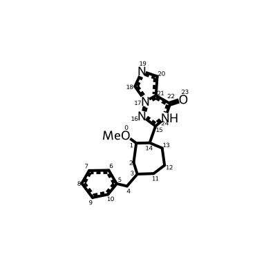 COC1CC(Cc2ccccc2)CCCC1c1nn2cncc2c(=O)[nH]1